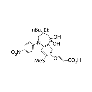 CCCCC1(CC)CN(c2ccc([N+](=O)[O-])cc2)c2cc(SC)c(OC=CC(=O)O)cc2S(O)(O)C1